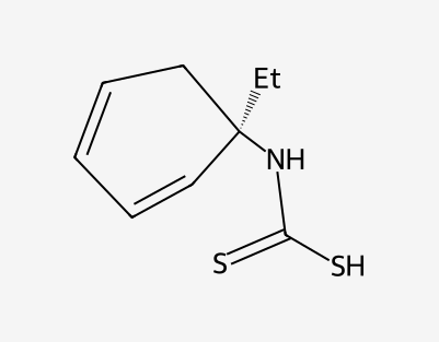 CC[C@]1(NC(=S)S)C=CC=CC1